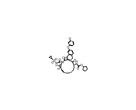 O=C(N[C@H]1CCCCC/C=C\[C@@H]2C[C@@]2(C(=O)NS(=O)(=O)C2CC2)NC(=O)[C@H]2Cc3cc(Oc4cccc(Cl)c4)ccc3CN2C1=O)OC1CCCC1